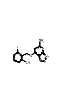 N#Cc1cccc(F)c1CSc1cc(N)nc2[nH]nnc12